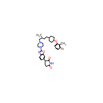 Cc1c(Br)cccc1OC1CCC(CC[C@H](C)CN2CCN(c3nc4ccc(C5CCC(=O)NC5=O)cc4o3)CC2)CC1